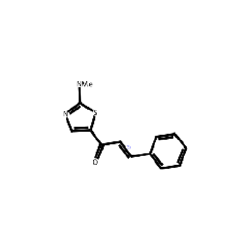 CNc1ncc(C(=O)/C=C/c2ccccc2)s1